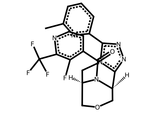 Cc1cccc(-c2nnc3n2C[C@@H]2COC[C@H]3N2C(=O)c2ccnc(C(F)(F)F)c2F)n1